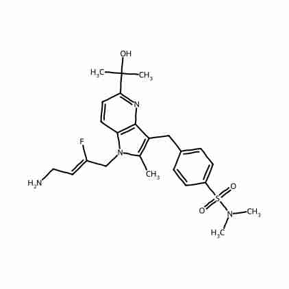 Cc1c(Cc2ccc(S(=O)(=O)N(C)C)cc2)c2nc(C(C)(C)O)ccc2n1C/C(F)=C/CN